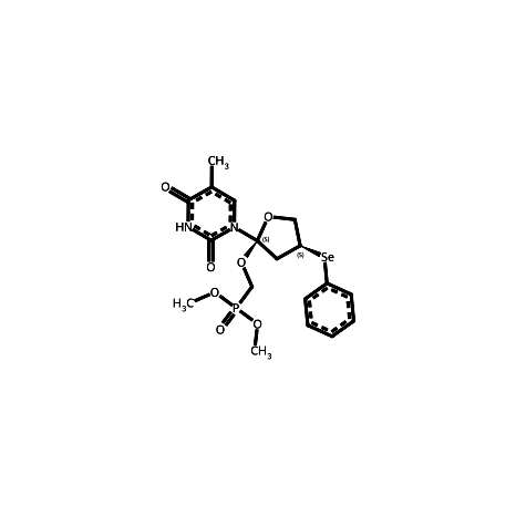 COP(=O)(CO[C@]1(n2cc(C)c(=O)[nH]c2=O)C[C@H]([Se]c2ccccc2)CO1)OC